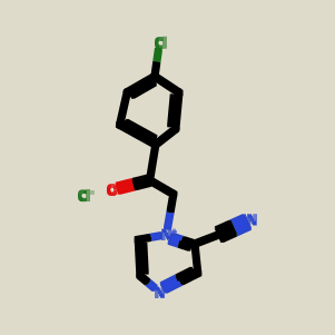 N#Cc1cncc[n+]1CC(=O)c1ccc(Cl)cc1.[Cl-]